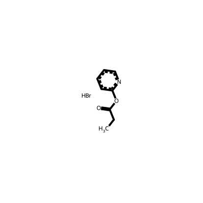 Br.CCC(=O)Oc1ccccn1